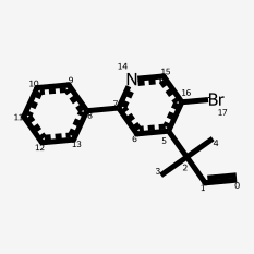 C=CC(C)(C)c1cc(-c2ccccc2)ncc1Br